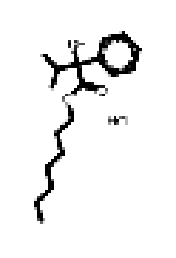 CCCCCCCOC(=O)C(O)(c1ccccc1)C(C)C.Cl